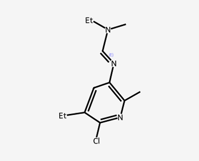 CCc1cc(/N=C/N(C)CC)c(C)nc1Cl